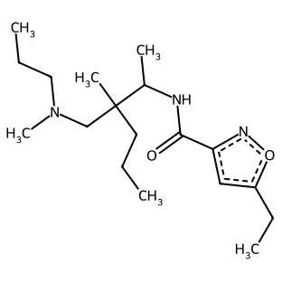 CCCN(C)CC(C)(CCC)C(C)NC(=O)c1cc(CC)on1